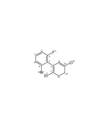 CCC1=C(c2c(F)cccc2Br)C=C(Cl)CC1